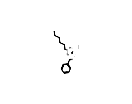 CCCCCCP(=O)(O)OC(=O)c1ccccc1